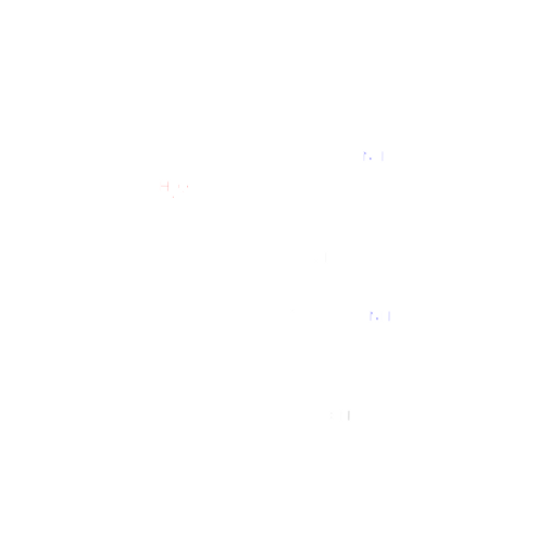 CC1CNCCc2ccccc21.CC1CNCCc2ccccc21.O